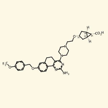 Nc1nc2c(c(N3CCN(CCO[C@@H]4C[C@@H]5[C@H](C4)[C@H]5C(=O)O)CC3)n1)CCc1cc(OCc3ccc(OC(F)(F)F)cc3)ccc1-2